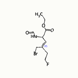 CCOC(=O)C(/C=C(\CBr)CCF)NC=O